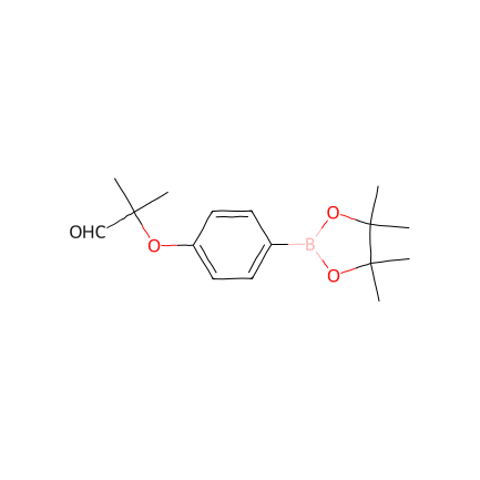 CC(C)(C=O)Oc1ccc(B2OC(C)(C)C(C)(C)O2)cc1